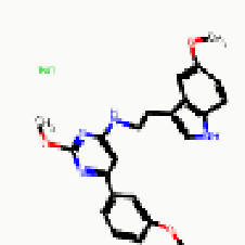 COc1cccc(-c2cc(NCCc3c[nH]c4ccc(OC)cc34)nc(OC)n2)c1.Cl